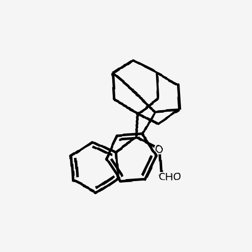 O=COC(c1ccccc1)C12CC3CC(C1)C(c1ccccc1)C(C3)C2